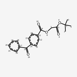 CC(C)(C)OC(=O)COC(=O)c1ccc(C(=O)c2ccccc2)cc1